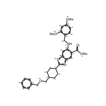 COC(=O)c1cc2nc(C3CCC(COCc4ccccc4)CC3)sc2cc1NCc1ccc(OC)cc1OC